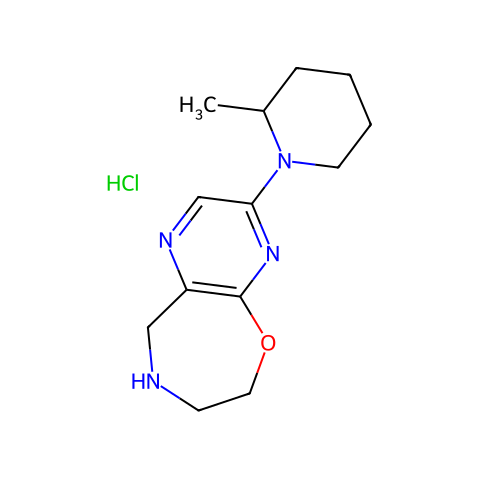 CC1CCCCN1c1cnc2c(n1)OCCNC2.Cl